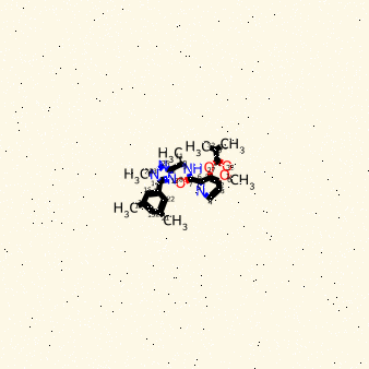 COc1ccnc(C(=O)N[C@@H](C)c2nc(-c3cc(C)cc(C)c3)n(C)n2)c1OC(=O)C(C)C